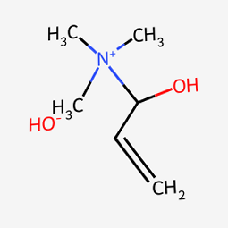 C=CC(O)[N+](C)(C)C.[OH-]